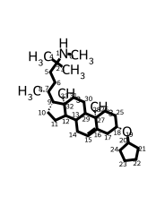 CNC(C)(C)CC[C@@H](C)[C@H]1CCC2C3CC=C4C[C@@H](OC5CCCC5)CC[C@]4(C)C3CC[C@@]21C